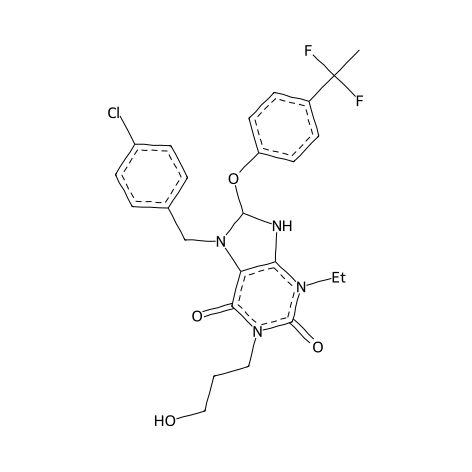 CCn1c2c(c(=O)n(CCCO)c1=O)N(Cc1ccc(Cl)cc1)C(Oc1ccc(C(C)(F)F)cc1)N2